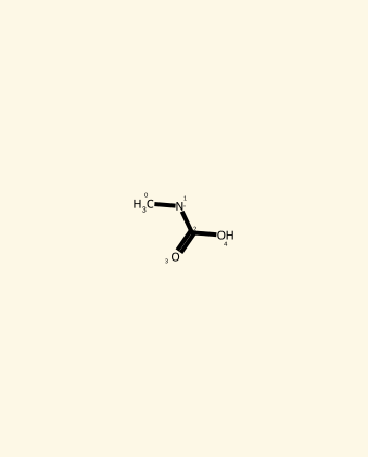 C[N]C(=O)O